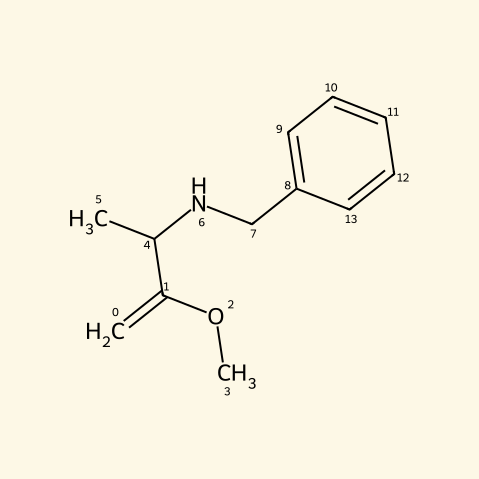 C=C(OC)C(C)NCc1ccccc1